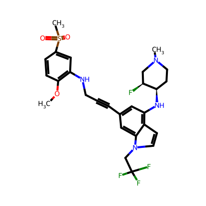 COc1ccc(S(C)(=O)=O)cc1NCC#Cc1cc(N[C@@H]2CCN(C)C[C@@H]2F)c2ccn(CC(F)(F)F)c2c1